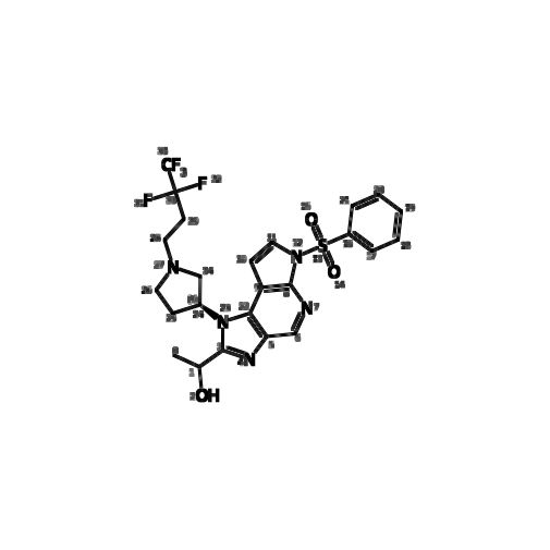 CC(O)c1nc2cnc3c(ccn3S(=O)(=O)c3ccccc3)c2n1[C@H]1CCN(CCC(F)(F)C(F)(F)F)C1